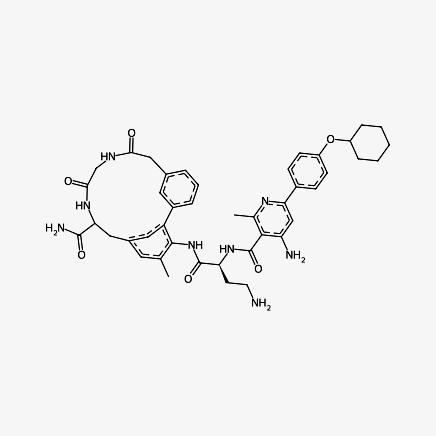 Cc1cc2cc(c1NC(=O)[C@H](CCN)NC(=O)c1c(N)cc(-c3ccc(OC4CCCCC4)cc3)nc1C)-c1cccc(c1)CC(=O)NCC(=O)NC(C(N)=O)C2